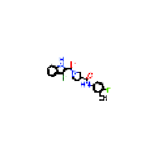 N#Cc1cc(NC(=O)[C@H]2CCN(C(=O)c3[nH]c4ccccc4c3Cl)C2)ccc1F